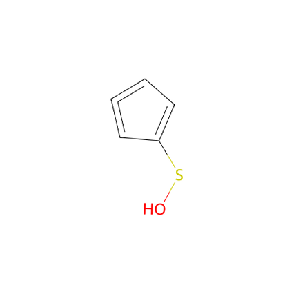 OSC1=CC=C=C1